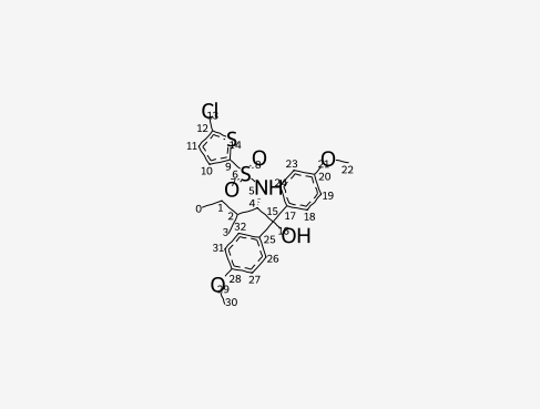 CCC(C)[C@H](NS(=O)(=O)c1ccc(Cl)s1)C(O)(c1ccc(OC)cc1)c1ccc(OC)cc1